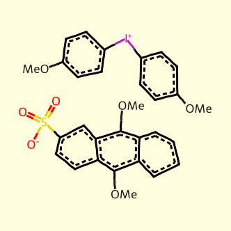 COc1c2ccccc2c(OC)c2cc(S(=O)(=O)[O-])ccc12.COc1ccc([I+]c2ccc(OC)cc2)cc1